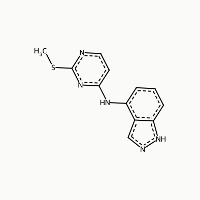 CSc1nccc(Nc2cccc3[nH]ncc23)n1